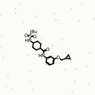 CC(C)(C)S(=O)(=O)NC1CCC(C(=O)Nc2cccc(OCC3CC3)c2)CC1